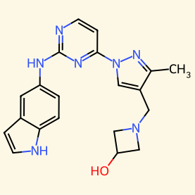 Cc1nn(-c2ccnc(Nc3ccc4[nH]ccc4c3)n2)cc1CN1CC(O)C1